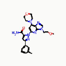 COCCn1cnc2c(N3CCOCC3)cc(-n3nc(-c4cccc(C)c4)cc3C(N)=O)nc21